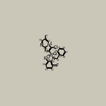 CC1=C[N+]2(C)C(=NC(S(=O)(=O)N(Cc3ccccc3)c3c(F)cccc3F)=C2Cl)N=C1